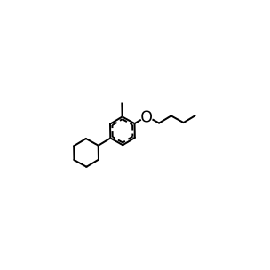 CCCCOc1ccc(C2CCCCC2)cc1C